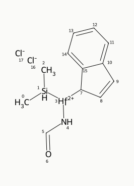 C[SiH](C)[Hf+2]([NH]C=O)[CH]1C=Cc2ccccc21.[Cl-].[Cl-]